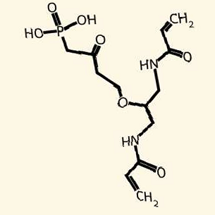 C=CC(=O)NCC(CNC(=O)C=C)OCCC(=O)CP(=O)(O)O